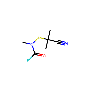 CN(SC(C)(C)C#N)C(=O)F